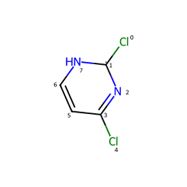 Cl[C]1N=C(Cl)C=CN1